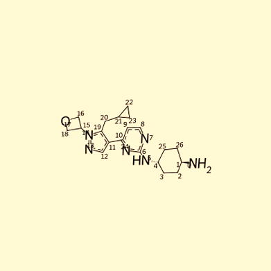 N[C@H]1CC[C@H](Nc2nccc(-c3cnn(C4COC4)c3CC3CC3)n2)CC1